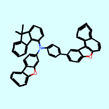 CC1(C)C2=CC=CC(N(c3ccc(-c4ccc5oc6ccc7ccccc7c6c5c4)cc3)c3ccc4c(c3)oc3ccccc34)C2c2ccccc21